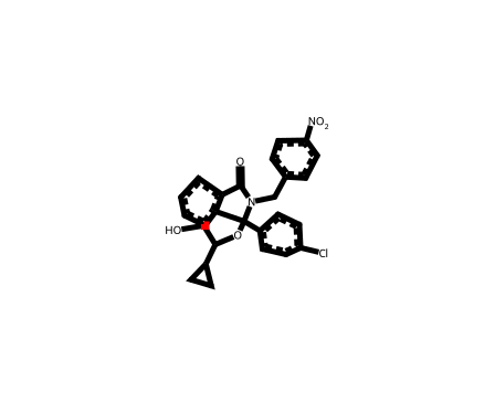 O=C1c2ccccc2C(OC(CO)C2CC2)(c2ccc(Cl)cc2)N1Cc1ccc([N+](=O)[O-])cc1